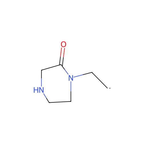 [CH2]CN1CCNCC1=O